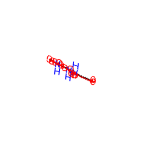 COC(=O)CCCCCCCCCCCCCCCCC(=O)NC(CCC(=O)NCCCOCCOCC(=O)NCCOCCOCC=O)C(=O)OC